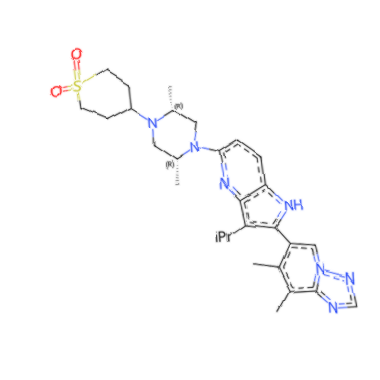 Cc1c(-c2[nH]c3ccc(N4C[C@@H](C)N(C5CCS(=O)(=O)CC5)C[C@H]4C)nc3c2C(C)C)cn2ncnc2c1C